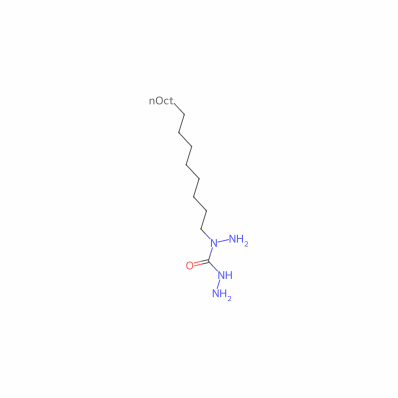 CCCCCCCCCCCCCCCCN(N)C(=O)NN